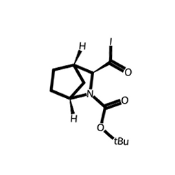 CC(C)(C)OC(=O)N1[C@@H]2CC[C@@H](C2)[C@H]1C(=O)I